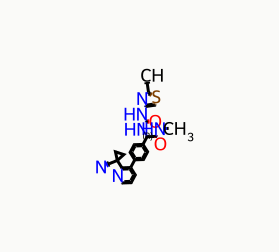 C#Cc1nc(NC(=O)N[C@@H](C(=O)NC)c2ccc(-c3cccnc3C3(C#N)CC3)cc2)cs1